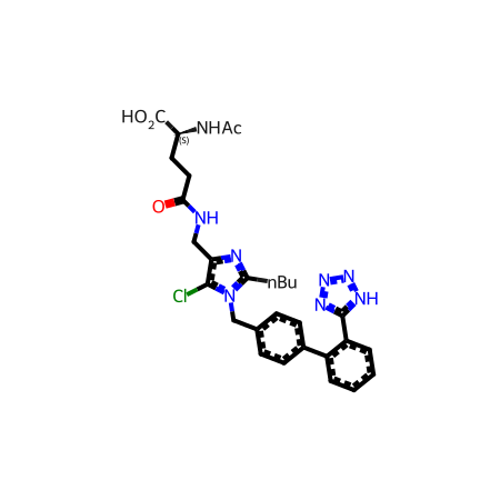 CCCCc1nc(CNC(=O)CC[C@H](NC(C)=O)C(=O)O)c(Cl)n1Cc1ccc(-c2ccccc2-c2nnn[nH]2)cc1